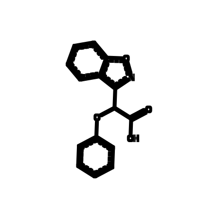 O=C(O)C(Oc1ccccc1)c1noc2ccccc12